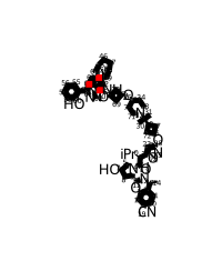 CC(C)[C@@H](C(=O)N1C[C@H](O)C[C@H]1C(=O)N[C@@H](C)c1ccc(C#N)cc1)c1cc(O[C@H]2C[C@H](C(C)(C)N3CCC(O[C@H]4C[C@H](Oc5cc(N6C7CCC6CN(c6cc(-c8ccccc8O)nnc6N)C7)ccn5)C4)CC3)C2)no1